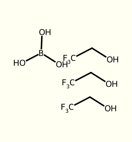 OB(O)O.OCC(F)(F)F.OCC(F)(F)F.OCC(F)(F)F